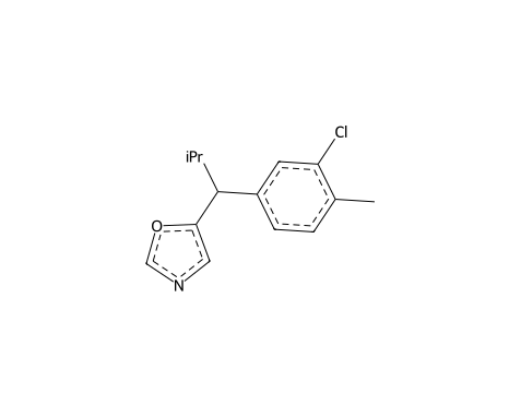 Cc1ccc(C(c2cnco2)C(C)C)cc1Cl